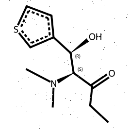 CCC(=O)[C@H]([C@H](O)c1ccsc1)N(C)C